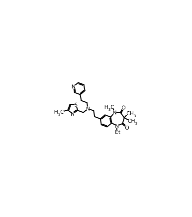 CCN1C(=O)C(C)(C)C(=O)N(C)c2cc(CCN(CCc3cccnc3)Cc3nc(C)cs3)ccc21